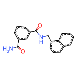 NC(=O)c1cccc(C(=O)NCc2cccc3ccccc23)c1